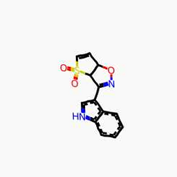 O=S1(=O)C=CC2ON=C(c3c[nH]c4ccccc34)C21